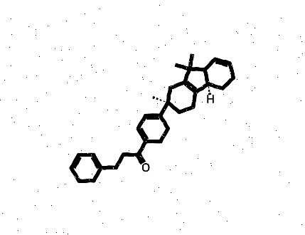 CC1(C)C2=C(CC[C@@](C)(C3=CC=C(C(=O)CCC4=CC=CCC4)CC3)C2)[C@@H]2CCC=CC21